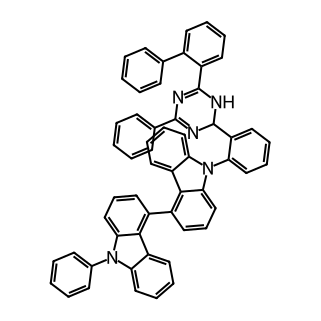 c1ccc(C2=NC(c3ccccc3-n3c4ccccc4c4c(-c5cccc6c5c5ccccc5n6-c5ccccc5)cccc43)NC(c3ccccc3-c3ccccc3)=N2)cc1